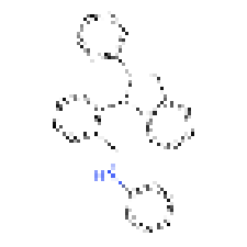 C1=C(c2ccccc2)C(c2ccccc2CNc2ccccc2)c2ccccc21